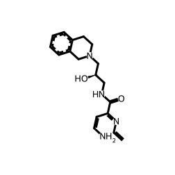 C=C/N=C(\C=C/N)C(=O)NC[C@@H](O)CN1CCc2ccccc2C1